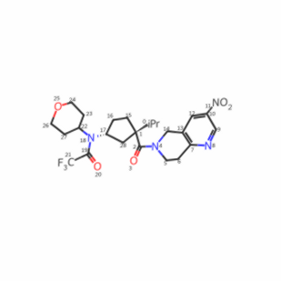 CC(C)[C@]1(C(=O)N2CCc3ncc([N+](=O)[O-])cc3C2)CC[C@@H](N(C(=O)C(F)(F)F)C2CCOCC2)C1